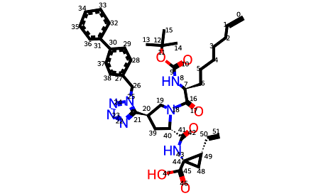 C=CCCCCC[C@H](NC(=O)OC(C)(C)C)C(=O)N1C[C@H](c2nnnn2Cc2ccc(-c3ccccc3)cc2)C[C@H]1C(=O)N[C@@]1(C(=O)O)C[C@H]1C=C